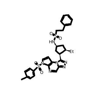 CC[C@@H]1C[C@H](NS(=O)(=O)CCc2ccccc2)C[C@@H]1c1nnc2cnc3c(ccn3S(=O)(=O)c3ccc(C)cc3)n12